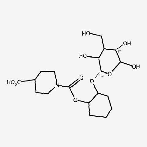 O=C(O)C1CCN(C(=O)OC2CCCCC2O[C@H]2OC(O)[C@@H](O)C(CO)C2O)CC1